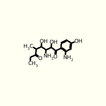 CCC(=O)C(C)C(O)C(N)C(O)C(=O)c1ccc(O)cc1N